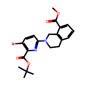 COC(=O)c1cccc2c1CN(c1ccc(Br)c(C(=O)OC(C)(C)C)n1)CC2